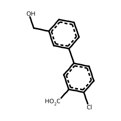 O=C(O)c1cc(-c2cccc(CO)c2)ccc1Cl